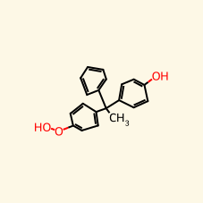 CC(c1ccccc1)(c1ccc(O)cc1)c1ccc(OO)cc1